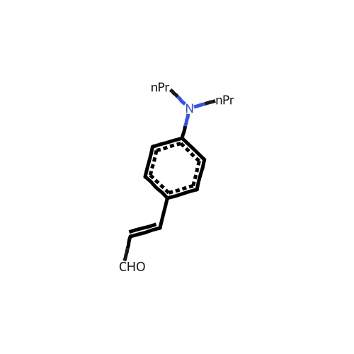 CCCN(CCC)c1ccc(/C=C/C=O)cc1